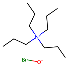 CCC[N+](CCC)(CCC)CCC.[O-]Br